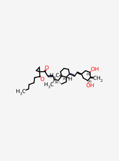 C=C1[C@H](O)CC(=C/C=C2\CCC[C@]3(C)[C@@H]([C@H](C)/C=C/C(=O)C4(C(=O)CCCCC)CC4)CC[C@@H]23)C[C@H]1O